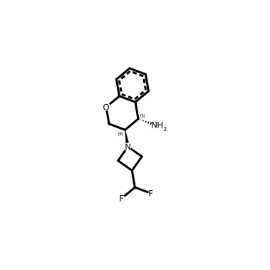 N[C@H]1c2ccccc2OC[C@@H]1N1CC(C(F)F)C1